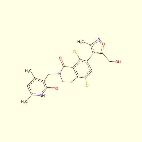 Cc1cc(C)c(CN2CCc3c(Cl)cc(-c4c(C)noc4CO)c(Cl)c3C2=O)c(=O)[nH]1